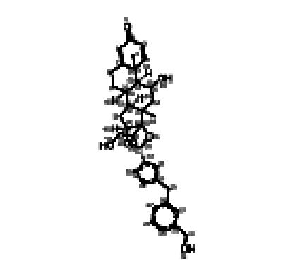 C[C@]12C=CC(=O)C=C1CC[C@@H]1[C@@H]2[C@@H](O)C[C@@]2(C)[C@H]1C[C@H]1O[C@@H](c3cc(Cc4cccc(CO)c4)cs3)O[C@]12C(=O)CO